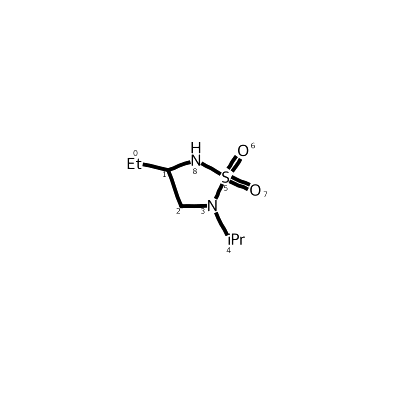 CCC1CN(C(C)C)S(=O)(=O)N1